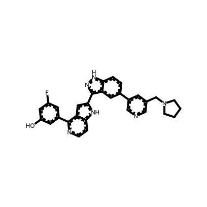 Oc1cc(F)cc(-c2nccc3[nH]c(-c4n[nH]c5ccc(-c6cncc(CN7CCCC7)c6)cc45)cc23)c1